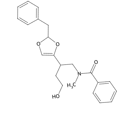 CN(CC(CCO)C1=COC(Cc2ccccc2)O1)C(=O)c1ccccc1